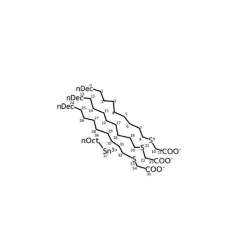 CCCCCCCCCCCCCCCCCCSCC(=O)[O-].CCCCCCCCCCCCCCCCCCSCC(=O)[O-].CCCCCCCCCCCCCCCCCCSCC(=O)[O-].CCCCCCC[CH2][Sn+3]